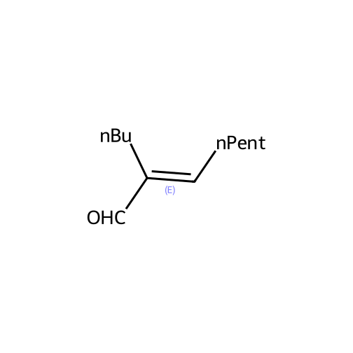 CCCCC/C=C(/C=O)CCCC